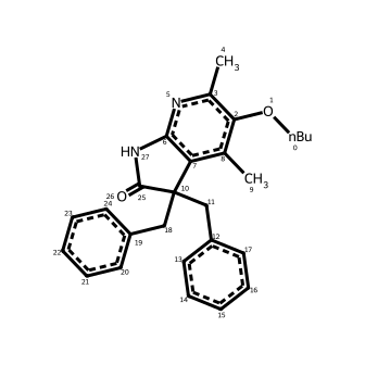 CCCCOc1c(C)nc2c(c1C)C(Cc1ccccc1)(Cc1ccccc1)C(=O)N2